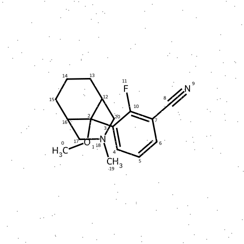 COC1(c2cccc(C#N)c2F)C2CCCC1CN(C)C2